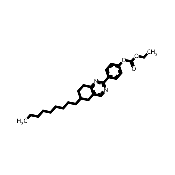 CCCCCCCCCC1CCc2nc(-c3ccc(OC(=O)OCC)cc3)ncc2C1